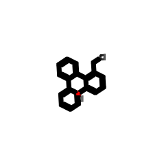 ClCc1cccc(CCl)c1-c1ccccc1-c1ccccc1